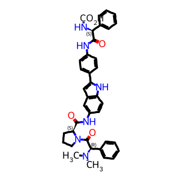 CN(C)[C@@H](C(=O)N1CCC[C@H]1C(=O)Nc1ccc2[nH]c(-c3ccc(NC(=O)[C@@H](NC(=O)O)c4ccccc4)cc3)cc2c1)c1ccccc1